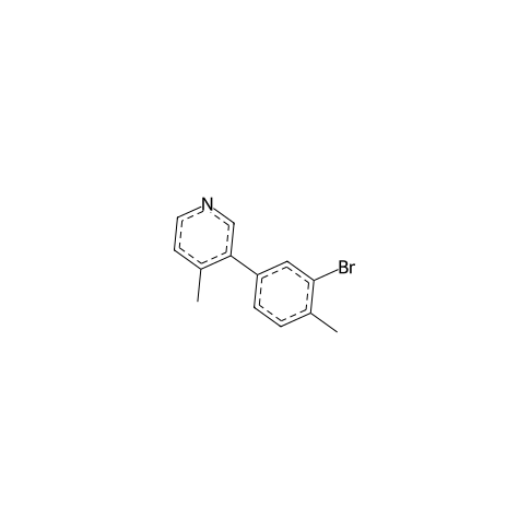 Cc1ccc(-c2cnccc2C)cc1Br